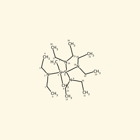 CCN(CC)[Si](C)(C)[Si](N(CC)CC)(N(CC)CC)N(CC)CC